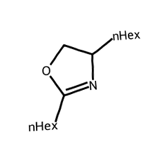 CCCCCCC1=NC(CCCCCC)CO1